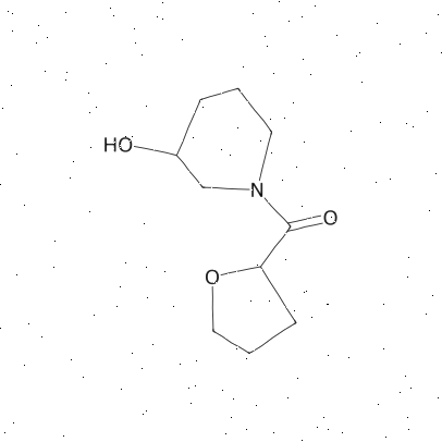 O=C(C1CCCO1)N1CCCC(O)C1